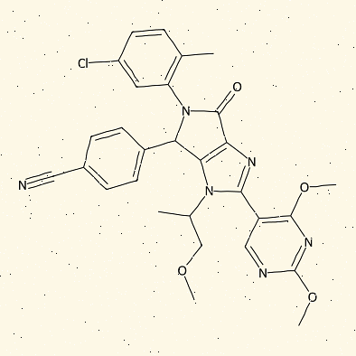 COCC(C)n1c(-c2cnc(OC)nc2OC)nc2c1C(c1ccc(C#N)cc1)N(c1cc(Cl)ccc1C)C2=O